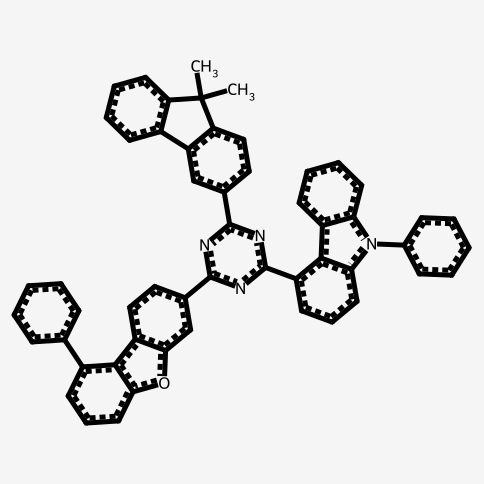 CC1(C)c2ccccc2-c2cc(-c3nc(-c4ccc5c(c4)oc4cccc(-c6ccccc6)c45)nc(-c4cccc5c4c4ccccc4n5-c4ccccc4)n3)ccc21